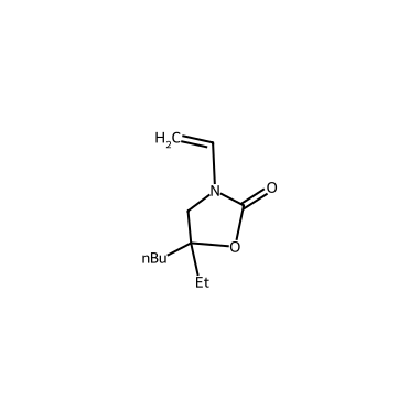 C=CN1CC(CC)(CCCC)OC1=O